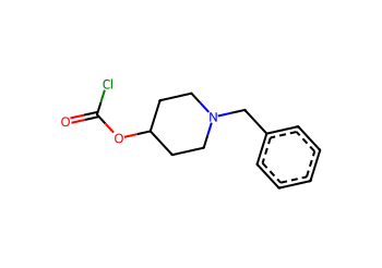 O=C(Cl)OC1CCN(Cc2ccccc2)CC1